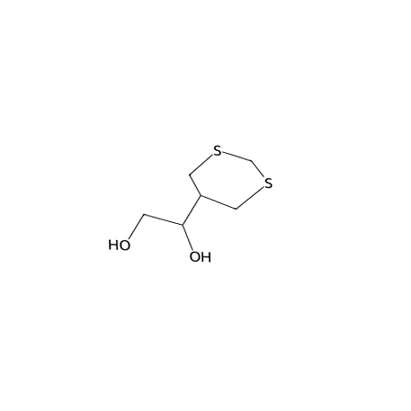 OCC(O)C1CSCSC1